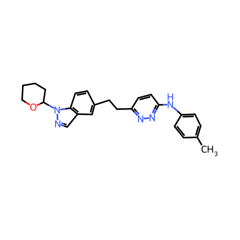 Cc1ccc(Nc2ccc(CCc3ccc4c(cnn4C4CCCCO4)c3)nn2)cc1